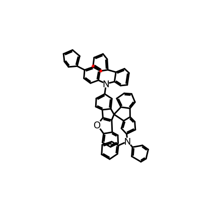 c1ccc(-c2ccc(N(c3ccc4c(c3)C3(c5ccccc5-c5ccc(N(c6ccccc6)c6ccccc6)cc53)c3c-4oc4ccccc34)c3ccccc3-c3ccccc3)cc2)cc1